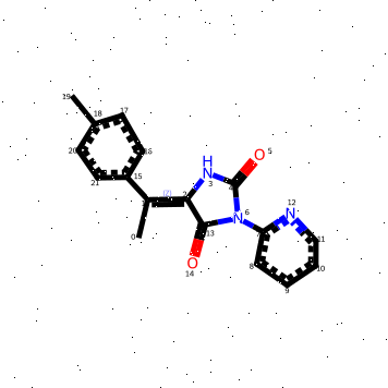 C/C(=C1/NC(=O)N(c2ccccn2)C1=O)c1ccc(C)cc1